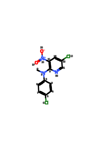 CN(c1ccc(Cl)cc1)c1ncc(Cl)cc1[N+](=O)[O-]